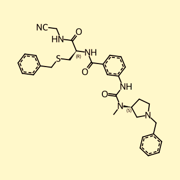 CN(C(=O)Nc1cccc(C(=O)N[C@@H](CSCc2ccccc2)C(=O)NCC#N)c1)[C@H]1CCN(Cc2ccccc2)C1